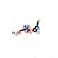 COCC#CC(C)(C)NC(=O)C(Oc1cc(Cl)c2ncc(C#CCF)cc2c1)SC